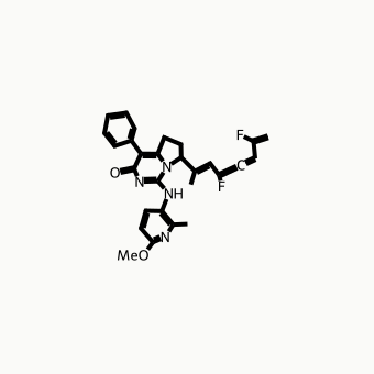 C=C(F)C=C=C(F)/C=C(\C)C1CCc2c(-c3ccccc3)c(=O)nc(Nc3ccc(OC)nc3C)n21